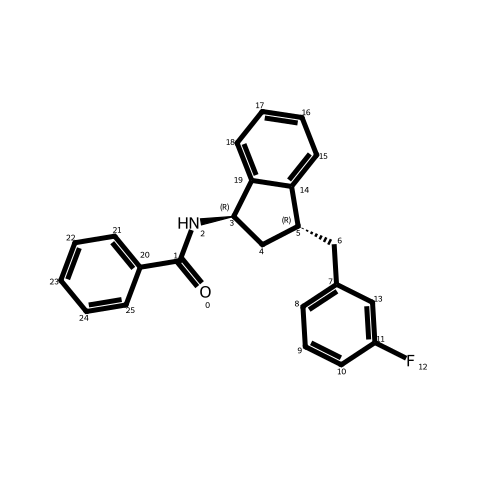 O=C(N[C@@H]1C[C@@H](Cc2cccc(F)c2)c2ccccc21)c1ccccc1